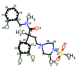 C[C@H]1CN(CCC(C)(C(=O)N(C)Cc2ccccc2Cl)c2ccc(Cl)c(Cl)c2)CCN1S(C)(=O)=O